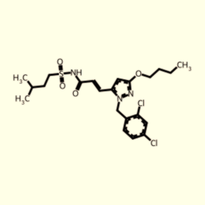 CCCCOc1cc(C=CC(=O)NS(=O)(=O)CCC(C)C)n(Cc2ccc(Cl)cc2Cl)n1